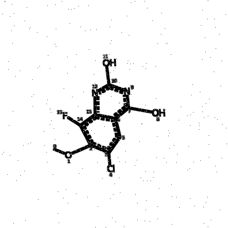 COc1c(Cl)cc2c(O)nc(O)nc2c1F